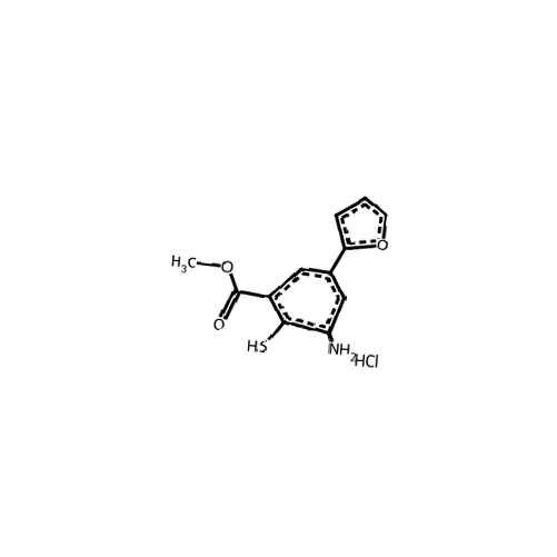 COC(=O)c1cc(-c2ccco2)cc(N)c1S.Cl